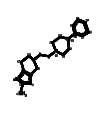 Nc1nc2c(s1)CC(CCN1CCN(c3ccccc3)CC1)CC2